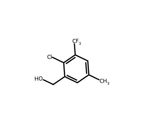 Cc1cc(CO)c(Cl)c(C(F)(F)F)c1